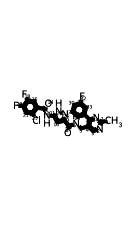 Cc1ncc(CNC(=O)c2cc(NC(=O)c3cc(F)c(F)cc3Cl)[nH]n2)c(-c2cccc(F)c2)n1